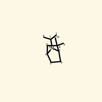 CC(C)N1C2CCC1C(C)(C)C2